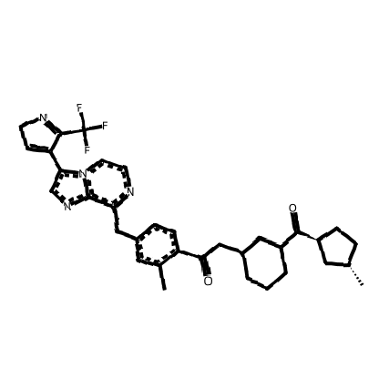 Cc1cc(Cc2nccn3c(C4=CCN=C4C(F)(F)F)cnc23)ccc1C(=O)CC1CCCC(C(=O)[C@H]2CC[C@H](C)C2)C1